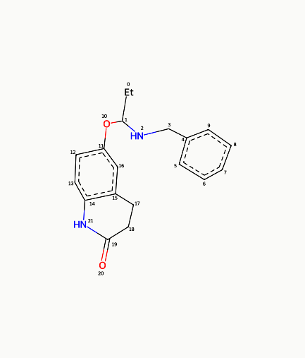 CCC(NCc1ccccc1)Oc1ccc2c(c1)CCC(=O)N2